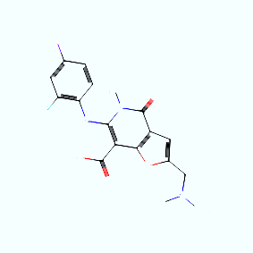 CN(C)Cc1cc2c(=O)n(C)c(Nc3ccc(I)cc3F)c(C(=O)O)c2o1